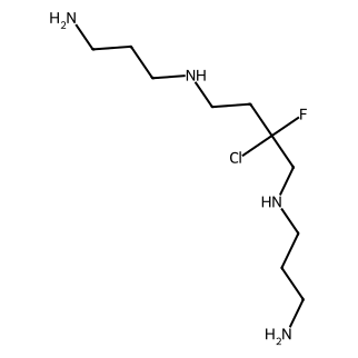 NCCCNCCC(F)(Cl)CNCCCN